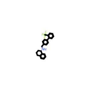 FC(F)(F)c1ccccc1-c1ccc(CN[C@H]2CCCc3ccccc32)cc1